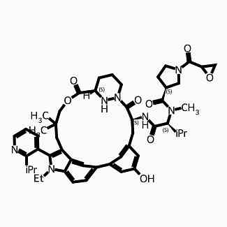 CCn1c(-c2cccnc2C(C)C)c2c3cc(ccc31)-c1cc(O)cc(c1)C[C@H](NC(=O)[C@H](C(C)C)N(C)C(=O)[C@H]1CCN(C(=O)C3CO3)C1)C(=O)N1CCC[C@H](N1)C(=O)OCC(C)(C)C2